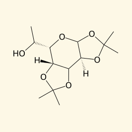 CC(O)[C@@H]1OC2OC(C)(C)O[C@H]2C2OC(C)(C)O[C@@H]21